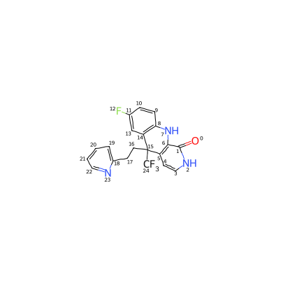 O=c1[nH]ccc2c1Nc1ccc(F)cc1C2(CCc1ccccn1)C(F)(F)F